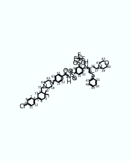 CC1(C)CC=C(c2ccc(Cl)cc2)CC1CN1CCN(c2ccc(C(=O)NS(=O)(=O)c3ccc(N[C@H](CCN4CCOCC4)CSc4ccccc4)c(S(=O)(=O)C(F)(F)F)c3)cc2)CC1